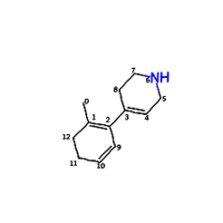 CC1=C(C2=CCNCC2)C=CCC1